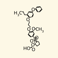 CCCc1cc(Oc2ccccc2)ccc1OCCCOc1ccc(S(=O)(=O)N2CCC[C@H]2OC(=O)O)cc1OC